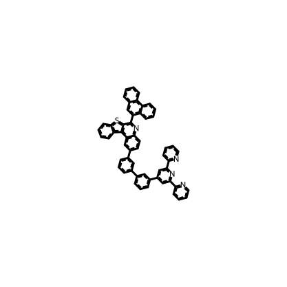 c1ccc(-c2cc(-c3cccc(-c4cccc(-c5ccc6nc(-c7cc8ccccc8c8ccccc78)c7sc8ccccc8c7c6c5)c4)c3)cc(-c3ccccn3)n2)nc1